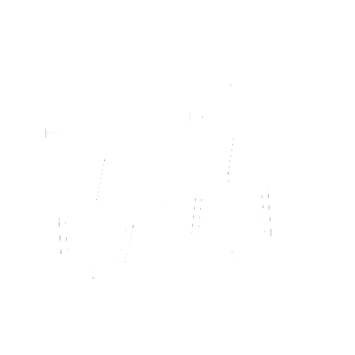 [Ca+2].[O-]c1ccccc1CO.[O-]c1ccccc1CO